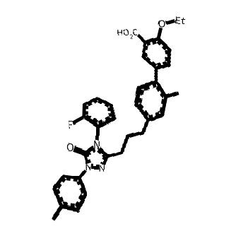 CCOc1ccc(-c2ccc(CCCc3nn(-c4ccc(C)cc4)c(=O)n3-c3ccccc3F)cc2C)cc1C(=O)O